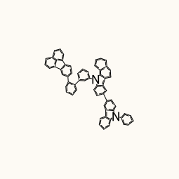 c1ccc(-n2c3ccccc3c3cc(-c4ccc5c(c4)c4ccc6ccccc6c4n5-c4cccc(-c5ccccc5-c5ccc6c(c5)-c5cccc7cccc-6c57)c4)ccc32)cc1